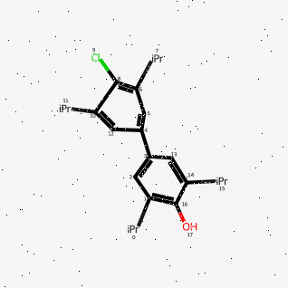 CC(C)c1cc(-c2cc(C(C)C)c(Cl)c(C(C)C)c2)cc(C(C)C)c1O